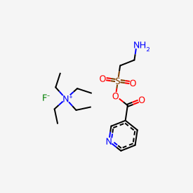 CC[N+](CC)(CC)CC.NCCS(=O)(=O)OC(=O)c1cccnc1.[F-]